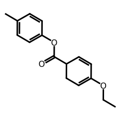 CCOC1=CCC(C(=O)Oc2ccc(C)cc2)C=C1